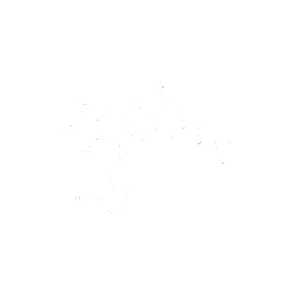 Cc1ncsc1C=Cc1cc(Oc2c(Br)cc(CCC(=O)O)cc2Br)cc(C(C)C)c1O